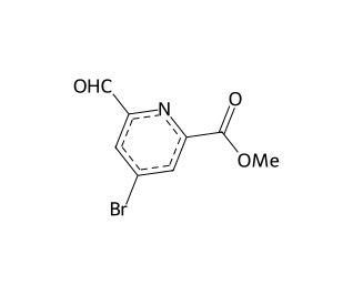 COC(=O)c1cc(Br)cc(C=O)n1